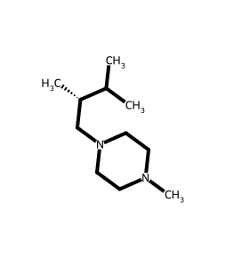 CC(C)[C@@H](C)CN1CCN(C)CC1